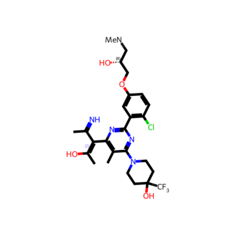 CNC[C@@H](O)COc1ccc(Cl)c(-c2nc(/C(C(C)=N)=C(\C)O)c(C)c(N3CCC(O)(C(F)(F)F)CC3)n2)c1